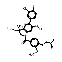 COc1cc(C(=O)NCC(C)(OC)c2ccc(OC)c(-c3ccc(F)c(Cl)c3)n2)ccc1OCC(F)F